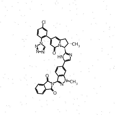 C[C@H]1Cc2cc(-c3cc(Cl)ccc3-n3cnnn3)cc(=O)n2[C@@H]1c1ncc(-c2ccc3c(N4C(=O)c5ccccc5C4=O)nn(C)c3c2)[nH]1